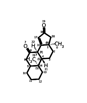 C[C@]12CC[C@H]3[C@@H](C(=O)CC4CCCC[C@@]43C)C1=CC(=O)C2